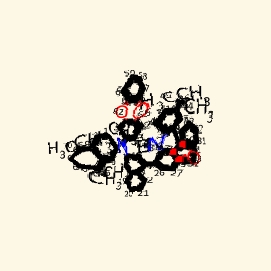 Cc1cc2c(cc1N1c3cc4c(cc3B3c5c1cc1ccccc1c5-c1ccc5oc6ccccc6c5c1N3c1ccc(C(C)(C)C)cc1-c1ccccc1)Oc1ccccc1O4)C(C)(C)CCC2(C)C